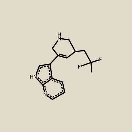 CC(F)(F)CC1C=C(c2c[nH]c3ncccc23)CNC1